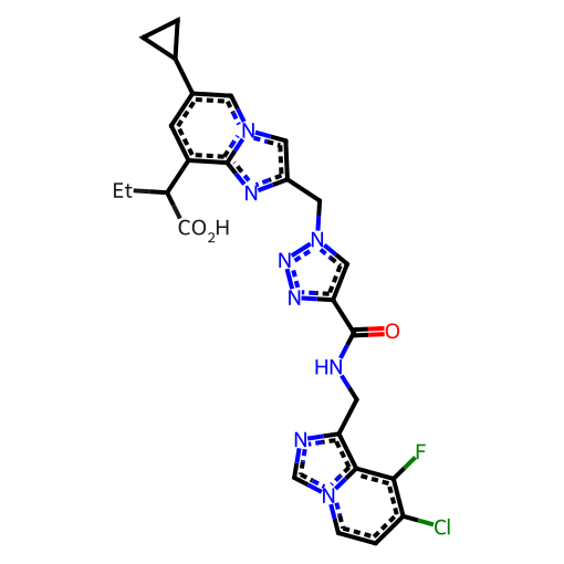 CCC(C(=O)O)c1cc(C2CC2)cn2cc(Cn3cc(C(=O)NCc4ncn5ccc(Cl)c(F)c45)nn3)nc12